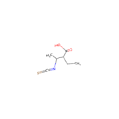 CCC(C(=O)O)C(C)N=C=S